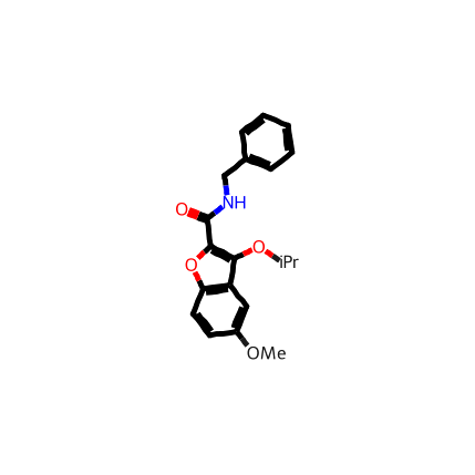 COc1ccc2oc(C(=O)NCc3ccccc3)c(OC(C)C)c2c1